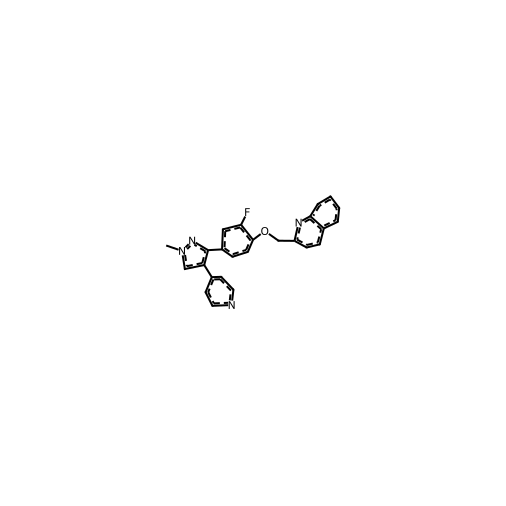 Cn1cc(-c2ccncc2)c(-c2ccc(OCc3ccc4ccccc4n3)c(F)c2)n1